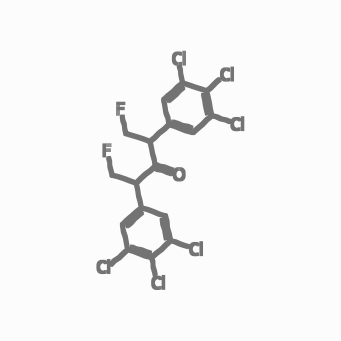 O=C(C(CF)c1cc(Cl)c(Cl)c(Cl)c1)C(CF)c1cc(Cl)c(Cl)c(Cl)c1